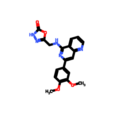 COc1ccc(-c2cc3ncccc3c(NCc3n[nH]c(=O)o3)n2)cc1OC